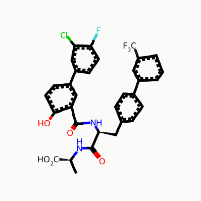 C[C@H](NC(=O)[C@H](Cc1ccc(-c2cccc(C(F)(F)F)c2)cc1)NC(=O)c1cc(-c2ccc(F)c(Cl)c2)ccc1O)C(=O)O